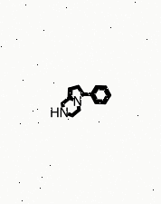 C1=C2CNCCN2C(c2ccccc2)C1